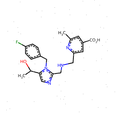 Cc1cc(C(=O)O)cc(CNCc2ncc(C(C)O)n2Cc2ccc(F)cc2)n1